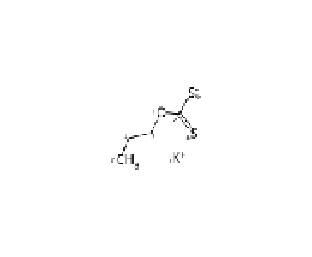 CCCOC(=S)[S-].[K+]